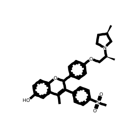 CC1=C(c2ccc(S(C)(=O)=O)cc2)C(c2ccc(OC[C@H](C)N3CC[C@@H](C)C3)cc2)Oc2ccc(O)cc21